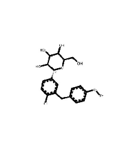 CCOc1ccc(Cc2cc([C@H]3OC(CO)C(O)C(O)C3O)ccc2Cl)cc1